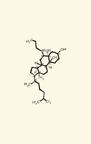 CCCN[C@@H]1C[C@H]2[C@@H]3CC[C@H]([C@H](C)CCCC(C)C)[C@@]3(C)CC[C@@H]2[C@@]2(C)CC[C@H](O)C[C@]12O